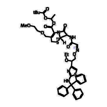 CCOC(CO/N=C\C(=O)NC1C(=O)N2C(C(=O)OC(C)OC(=O)C(C)(C)C)=C(COCCOC)CS[C@@H]12)c1csc(NC(c2ccccc2)(c2ccccc2)c2ccccc2)n1